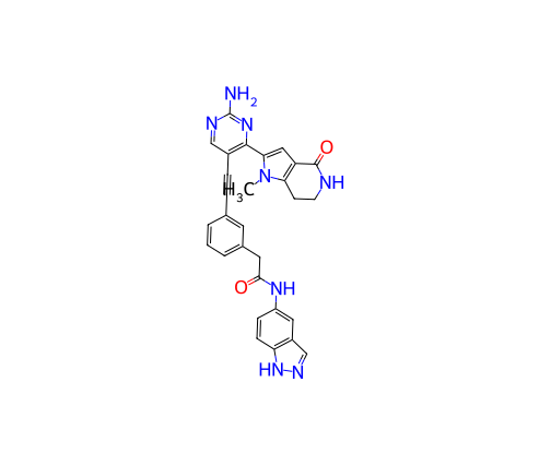 Cn1c(-c2nc(N)ncc2C#Cc2cccc(CC(=O)Nc3ccc4[nH]ncc4c3)c2)cc2c1CCNC2=O